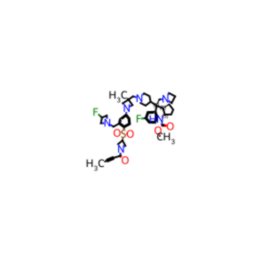 CC#CC(=O)N1CC(S(=O)(=O)c2ccc(N3CC(C)(CN4CCC([C@@](CN5CCC5)(c5cccc(F)c5)[C@H]5CCC[C@@H]5NC(=O)OC)CC4)C3)cc2CN2CC(F)C2)C1